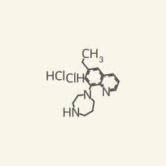 CCc1cc(N2CCCNCC2)c2ncccc2c1.Cl.Cl